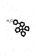 Cc1ccc(-c2cccc3c2-c2ccccc2C3(c2ccccc2)c2ccccc2)cc1